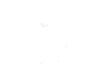 C=CNCc1cc(F)c(OC)c(OC)c1